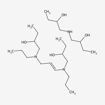 CCC(O)CNCC(O)CC.CCCN(C=CCN(CCC)CC(O)CC)CC(O)CC